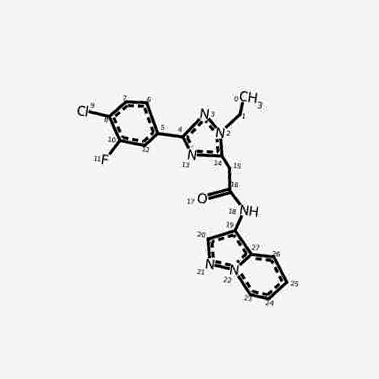 CCn1nc(-c2ccc(Cl)c(F)c2)nc1CC(=O)Nc1cnn2ccccc12